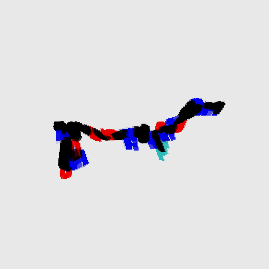 O=C1CCC(n2c3ccc(CCCOCCOCCNCC4CCC(n5cc(NC(=O)c6coc(-c7ccnc(NCC8CC8)c7)n6)c(C(F)F)n5)CC4)cc3c3cccnc32)C(=O)N1